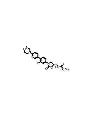 COC(=O)NC[C@H]1CN(c2ccc(-c3ccc(N4C=NOCC4)nc3)c(F)c2)C(=O)O1